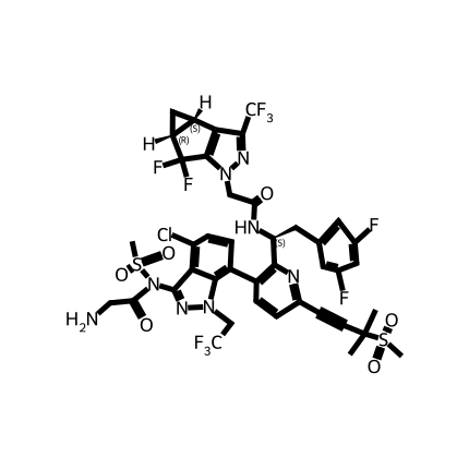 CC(C)(C#Cc1ccc(-c2ccc(Cl)c3c(N(C(=O)CN)S(C)(=O)=O)nn(CC(F)(F)F)c23)c([C@H](Cc2cc(F)cc(F)c2)NC(=O)Cn2nc(C(F)(F)F)c3c2C(F)(F)[C@@H]2C[C@H]32)n1)S(C)(=O)=O